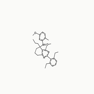 CCCC1(Nc2cc(OC)ccc2C)CCCc2nc(-c3c(CC)cccc3CC)cc(OC)c21